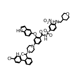 CC(c1ccccc1-c1ccc(Cl)cc1)N1CCN(c2ccc(C(=O)NS(=O)(=O)c3ccc(NCC4CCOCC4)c([N+](=O)[O-])c3)c(Oc3ccc4[nH]ccc4c3)c2)CC1